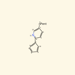 CCCCCc1ccc(-c2cc[c]cc2)nc1